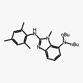 CCCCN(CCCC)c1cccc2nc(Nc3c(C)cc(C)cc3C)n(C)c12